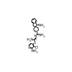 N/C(=C\N=C(/N)N1CCC2(CC1)Cc1ccccc1C2N)Sc1ccnc(N)c1Cl